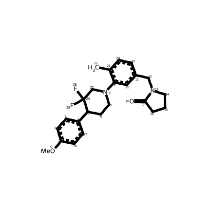 COc1ccc(C2CCN(c3cc(CN4CCCC4=O)ccc3C)CC2(F)F)cc1